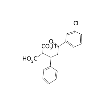 O=C(CC(c1ccccc1)C(C(=O)O)C(=O)O)c1cccc(Cl)c1